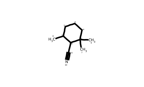 CC1CCCC(C)(C)C1C#N